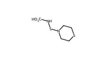 O=C(O)NSN1CCSCC1